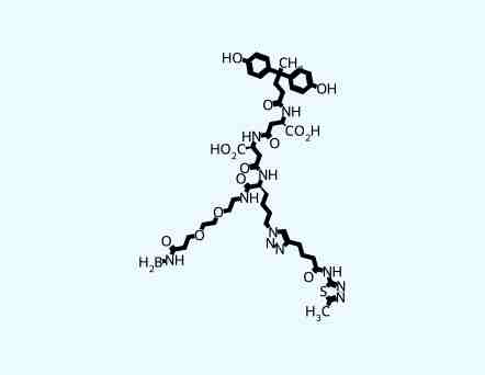 BNC(=O)CCOCCOCCNC(=O)[C@H](CCCCn1cc(CCCC(=O)Nc2nnc(C)s2)nn1)NC(=O)C[C@H](NC(=O)C[C@H](NC(=O)CCC(C)(c1ccc(O)cc1)c1ccc(O)cc1)C(=O)O)C(=O)O